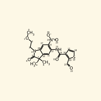 COCCN1C(=O)C(C)(C)c2cc(NC(=O)c3ccsc3C=O)c([N+](=O)[O-])cc21